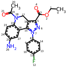 CCOC(=O)c1nn(-c2ccc(F)cc2)c2c1CN(C(C)=O)c1ccc(N)cc1-2